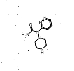 NC(=O)N(c1cccnn1)N1CCNCC1